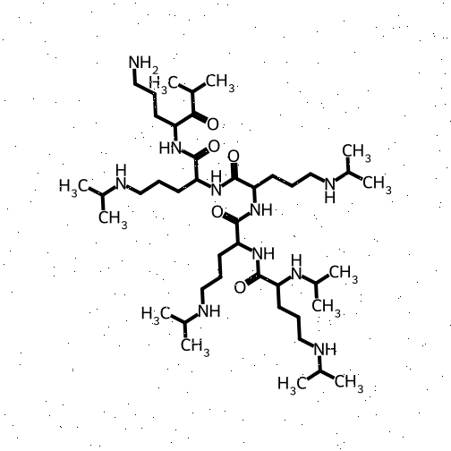 CC(C)NCCCC(NC(=O)C(CCCNC(C)C)NC(=O)C(CCCNC(C)C)NC(C)C)C(=O)NC(CCCNC(C)C)C(=O)NC(CCCN)C(=O)C(C)C